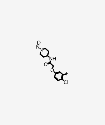 O=NN1CCC(NC(=O)COc2ccc(Cl)c(F)c2)CC1